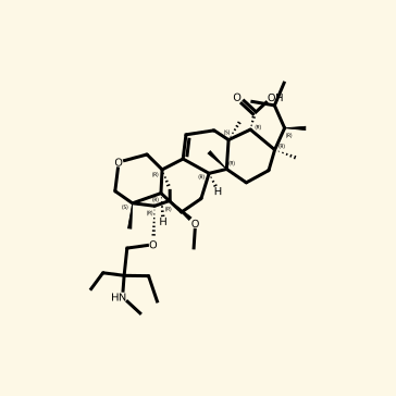 CCC(CC)(CO[C@H]1[C@H](OC)C[C@@]23COC[C@]1(C)[C@@H]2CC[C@H]1C3=CC[C@@]2(C)[C@H](C(=O)O)[C@@](C)([C@H](C)C(C)C)CC[C@]12C)NC